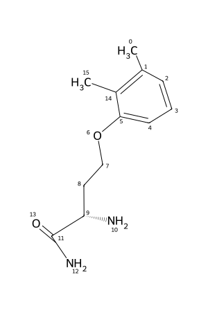 Cc1cccc(OCC[C@H](N)C(N)=O)c1C